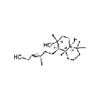 C/C(=C\CO)CC[C@@H]1[C@@]2(C)CCCC(C)(C)[C@@H]2CC[C@@]1(C)O